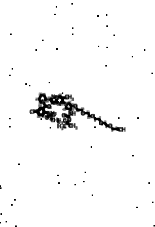 C#CCOCCOCCOCCOCCO[C@@H]1CN(c2nc3cc([C@@H]4CCCCN4C(=O)c4cc(Cl)ccc4NS(C)(=O)=O)nn3cc2C)C[C@H]1NC(=O)OC(C)(C)C